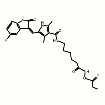 CCC(=O)ONC(=O)CCCCCNC(=O)c1c(C)[nH]c(C=C2C(=O)Nc3ccc(F)cc32)c1C